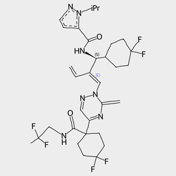 C=C/C(=C\N1N=CC(C2(C(=O)NCC(C)(F)F)CCC(F)(F)CC2)=NC1=C)[C@@H](NC(=O)c1ccnn1C(C)C)C1CCC(F)(F)CC1